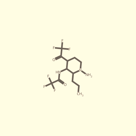 CCCC1C(NC(=O)C(F)(F)F)C(C(=O)C(F)(F)F)CCN1N